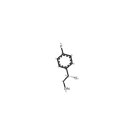 CC(=O)OC[C@@H](Cl)c1ccc(F)cc1